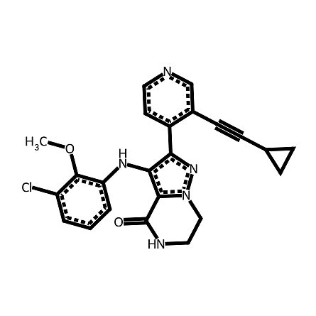 COc1c(Cl)cccc1Nc1c(-c2ccncc2C#CC2CC2)nn2c1C(=O)NCC2